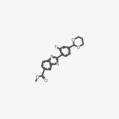 COC(=O)c1ccc2nc(-c3ccc(C4OCCCO4)cc3F)sc2c1